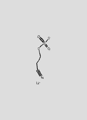 N#CCCOS(=O)(=O)[O-].[Li+]